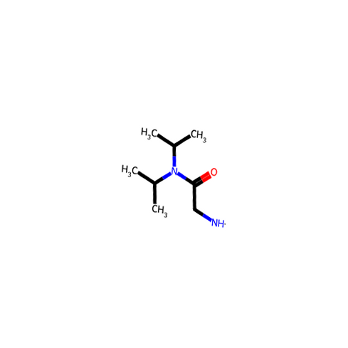 CC(C)N(C(=O)C[NH])C(C)C